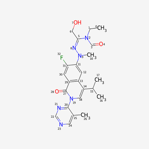 CCN(C=O)/C(CO)=N\N(C)c1cc2c(C(C)C)cn(-c3ncncc3C)c(=O)c2cc1F